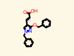 O=C(O)/C=C/c1cn(Cc2ccccc2)nc1OCc1ccccc1